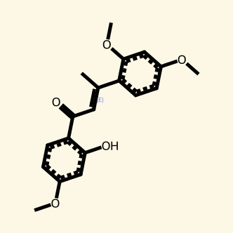 COc1ccc(C(=O)/C=C(\C)c2ccc(OC)cc2OC)c(O)c1